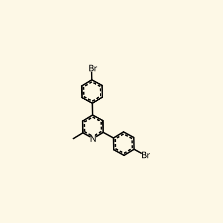 Cc1cc(-c2ccc(Br)cc2)cc(-c2ccc(Br)cc2)n1